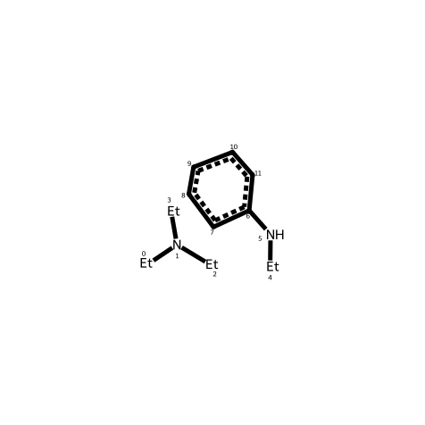 CCN(CC)CC.CCNc1ccccc1